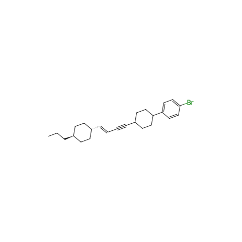 CCC[C@H]1CC[C@H](/C=C/C#CC2CCC(c3ccc(Br)cc3)CC2)CC1